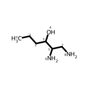 CCCC(O)C(N)CN